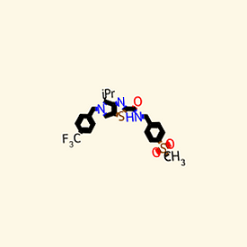 CC(C)[C@H]1c2nc(C(=O)NCc3ccc(S(C)(=O)=O)cc3)sc2CN1Cc1ccc(C(F)(F)F)cc1